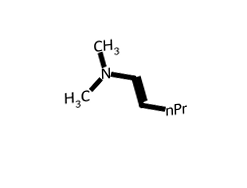 CCC/C=C/N(C)C